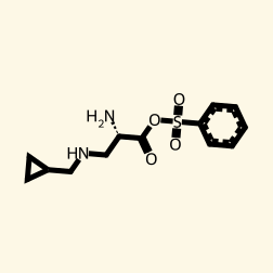 N[C@@H](CNCC1CC1)C(=O)OS(=O)(=O)c1ccccc1